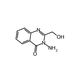 Nn1c(CO)nc2ccccc2c1=O